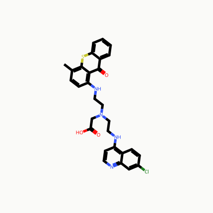 Cc1ccc(NCCN(CCNc2ccnc3cc(Cl)ccc23)CC(=O)O)c2c(=O)c3ccccc3sc12